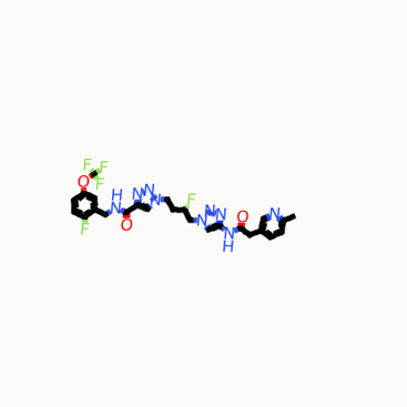 Cc1ccc(CC(=O)Nc2cn(CC(F)CCn3cc(C(=O)NCc4cc(OC(F)(F)F)ccc4F)nn3)nn2)cn1